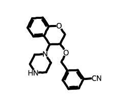 N#Cc1cccc(COC2COc3ccccc3C2N2CCNCC2)c1